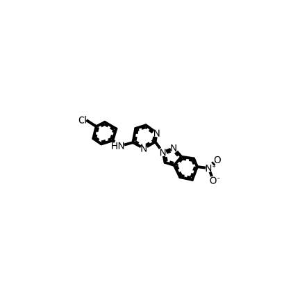 O=[N+]([O-])c1ccc2cn(-c3nccc(Nc4ccc(Cl)cc4)n3)nc2c1